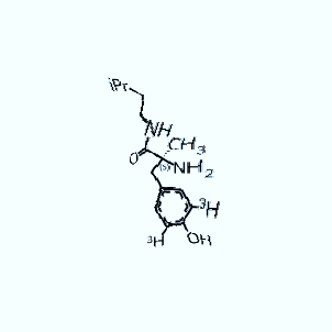 [3H]c1cc(C[C@](C)(N)C(=O)NCCC(C)C)cc([3H])c1O